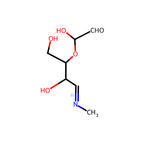 C/N=C/C(O)C(CO)OC(O)C=O